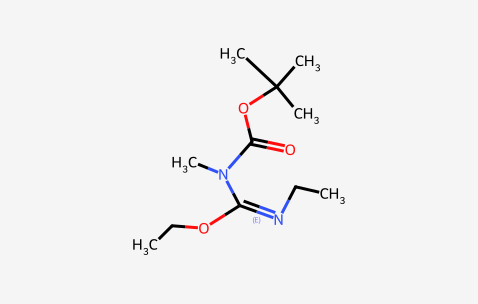 CC/N=C(/OCC)N(C)C(=O)OC(C)(C)C